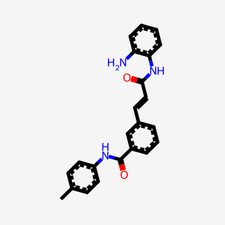 Cc1ccc(NC(=O)c2cccc(/C=C/C(=O)Nc3ccccc3N)c2)cc1